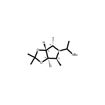 CCCCC(C)P1[C@@H](C)[C@H]2OC(C)(C)O[C@@H]2[C@@H]1C